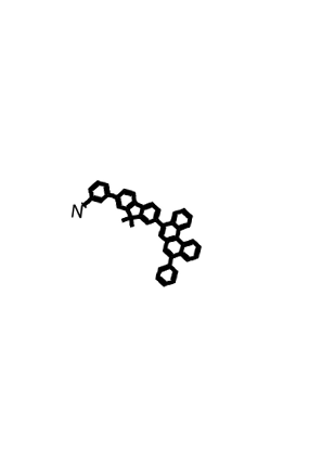 CC1(C)c2cc(-c3cccc(C#N)c3)ccc2-c2ccc(-c3cc4cc(-c5ccccc5)c5ccccc5c4c4ccccc34)cc21